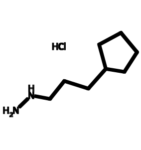 Cl.NNCCCC1CCCC1